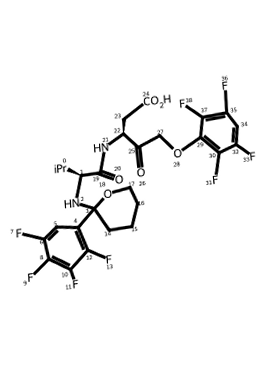 CC(C)[C@H](NC1(c2cc(F)c(F)c(F)c2F)CCCCO1)C(=O)N[C@@H](CC(=O)O)C(=O)COc1c(F)c(F)cc(F)c1F